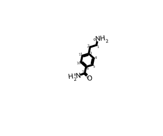 NC[CH]c1ccc(C(N)=O)cc1